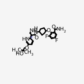 CC(C)(O)COC1=CN/C(=C(\C=N)C(=O)NC2CCC(Oc3c(F)cc(F)cc3C(N)=O)CC2)C=C1